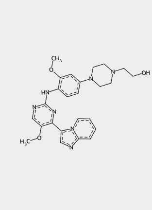 COc1cc(N2CCN(CCO)CC2)ccc1Nc1ncc(OC)c(-c2cnc3ccccn23)n1